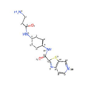 NCCC(=O)NC1CCC(NC(=O)c2nc3ccncc3s2)CC1